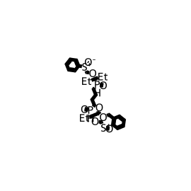 CCC(CC)(OC[S@@+]([O-])c1ccccc1)[PH](=O)CCCC[PH](=O)C(CC)(OC[S+]=O)C(=O)OCc1ccccc1